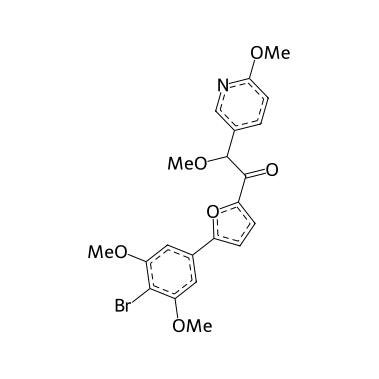 COc1ccc(C(OC)C(=O)c2ccc(-c3cc(OC)c(Br)c(OC)c3)o2)cn1